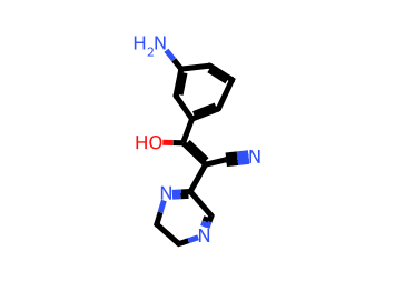 N#C/C(C1=NCCN=C1)=C(/O)c1cccc(N)c1